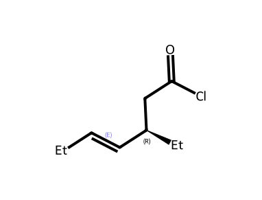 CC/C=C/[C@H](CC)CC(=O)Cl